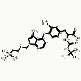 Cc1cn(COCC[Si](C)(C)C)c2nccc(Oc3ccc(CC(NC(=O)OC(C)(C)C)C(=O)O)cc3F)c12.[LiH]